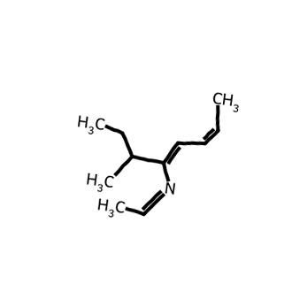 C\C=C/C=C(\N=C/C)C(C)CC